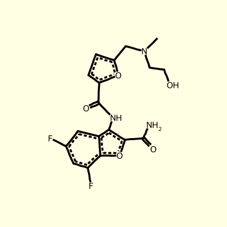 CN(CCO)Cc1ccc(C(=O)Nc2c(C(N)=O)oc3c(F)cc(F)cc23)o1